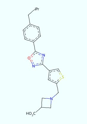 CC(C)Cc1ccc(-c2nc(-c3csc(CN4CC(C(=O)O)C4)c3)no2)cc1